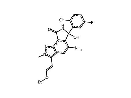 CCOC=Cc1c2cc(N)c3c(c2nn1C)C(=O)NC3(O)c1cc(F)ccc1Cl